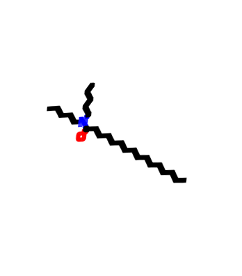 CCCCCCCCCCCCCCCC(=O)N(CCCCC)CCCCC